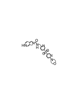 O=C(NCc1ccc(S(=O)(=O)c2ccc(N3CCOCC3)nc2)cn1)N1C=C2C=CNC=C2C1